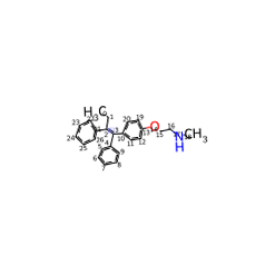 CC/C(=C(/c1ccccc1)c1ccc(OCCNC)cc1)c1ccccc1